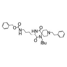 CCC(C)CN1C(=O)[C@H](CCCCNC(=O)OCc2ccccc2)NC(=O)C12CCN(CCc1ccccc1)CC2